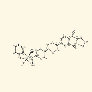 O=C(c1ccc(N2CCC(C3CCN(C(=O)[C@@](O)(c4ccccc4)C(F)(F)F)CC3)CC2)cc1Cl)N1CCCC1